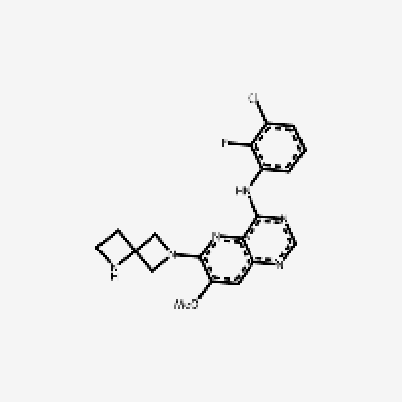 COc1cc2ncnc(Nc3cccc(Cl)c3F)c2nc1N1CC2(CCN2)C1